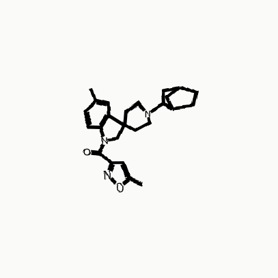 Cc1ccc2c(c1)C1(CCN(C3CC4CCC3C4)CC1)CN2C(=O)c1cc(C)on1